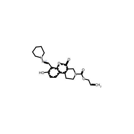 C=CCOC(=O)N1CCc2c(c(=O)oc3c(/C=N/N4CCCCC4)c(O)ccc23)C1